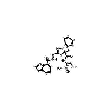 CC(C)C[C@H](NC(=O)C1(Cc2ccccc2)CC(CNC(=O)c2cccc3ncnn23)=NO1)B(O)O